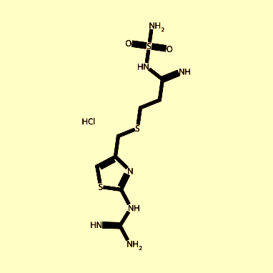 Cl.N=C(N)Nc1nc(CSCCC(=N)NS(N)(=O)=O)cs1